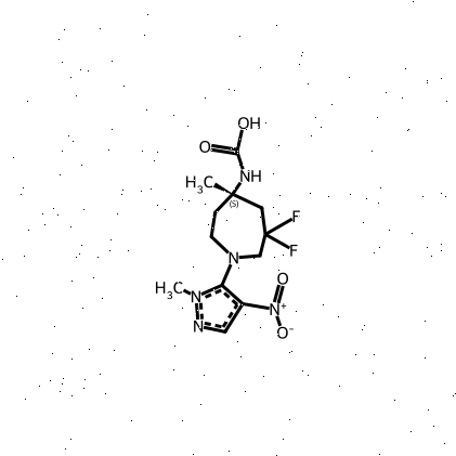 Cn1ncc([N+](=O)[O-])c1N1CC[C@](C)(NC(=O)O)CC(F)(F)C1